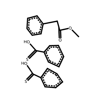 COC(=O)Cc1ccccc1.OC(=S)c1ccccc1.OC(=S)c1ccccc1